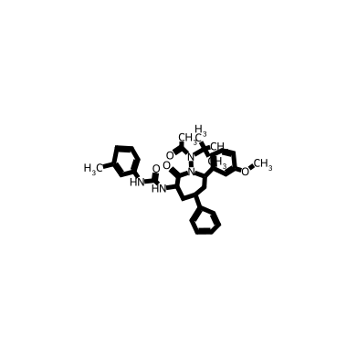 COc1cccc(C2CC(c3ccccc3)CC(NC(=O)Nc3cccc(C)c3)C(=O)N2N(C(C)=O)C(C)(C)C)c1